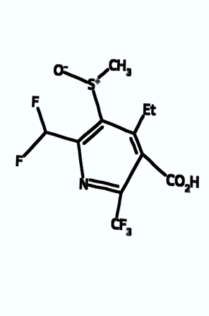 CCc1c(C(=O)O)c(C(F)(F)F)nc(C(F)F)c1[S+](C)[O-]